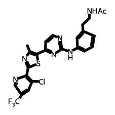 CC(=O)NCCc1cccc(Nc2nccc(-c3sc(-c4ncc(C(F)(F)F)cc4Cl)nc3C)n2)c1